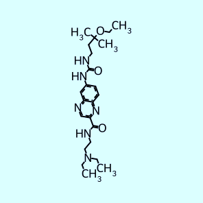 CCOC(C)(C)CCNC(=O)Nc1ccc2nc(C(=O)NCCN(CC)CC)cnc2c1